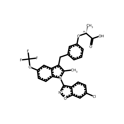 Cc1c(Cc2cccc(O[C@H](C)C(=O)O)c2)c2cc(OC(F)(F)F)ccc2n1-c1noc2cc(Cl)ccc12